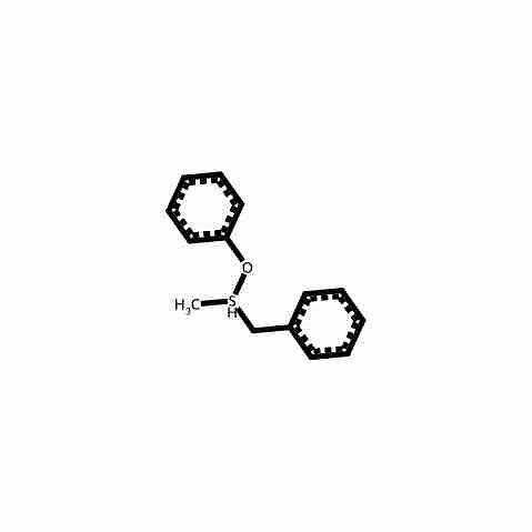 C[SH](Cc1ccccc1)Oc1ccccc1